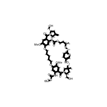 C=C1C[C@@H](CO)N(C(=O)c2cc(OC)c(OCCCCCOc3cc(NC(=O)OC(C)(C)C)c(C(=O)N4CC(C)(C)C[C@H]4CO)cc3OC)cc2NC(=O)OCC[C@@H](C)SSc2ccc([N+](=O)[O-])cn2)C1